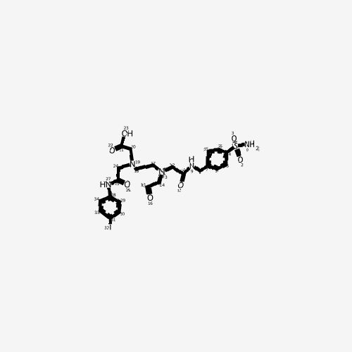 NS(=O)(=O)c1ccc(CNC(=O)CN(CC=O)CCN(CC(=O)O)CC(=O)Nc2ccc(I)cc2)cc1